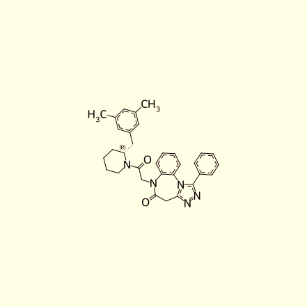 Cc1cc(C)cc(C[C@H]2CCCCN2C(=O)CN2C(=O)Cc3nnc(-c4ccccc4)n3-c3ccccc32)c1